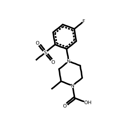 CC1CN(c2cc(F)ccc2S(C)(=O)=O)CCN1C(=O)O